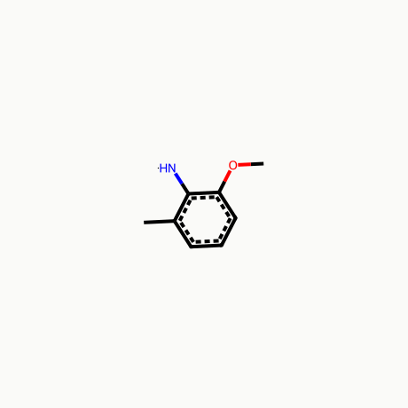 COc1cccc(C)c1[NH]